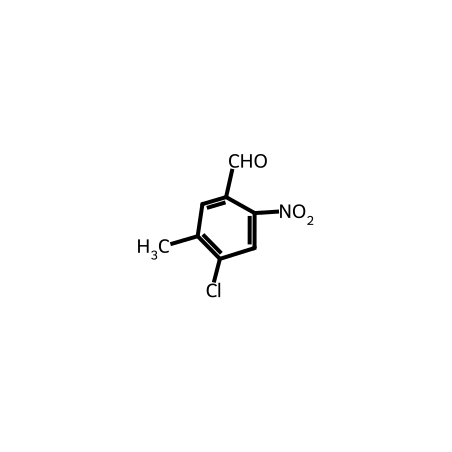 Cc1cc(C=O)c([N+](=O)[O-])cc1Cl